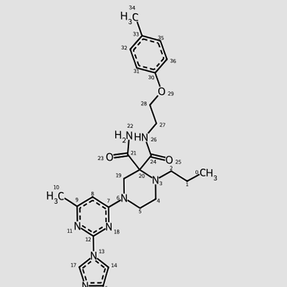 CCCN1CCN(c2cc(C)nc(-n3ccnc3)n2)CC1(C(N)=O)C(=O)NCCOc1ccc(C)cc1